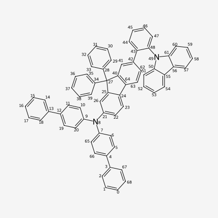 c1ccc(-c2ccc(N(c3ccc(-c4ccccc4)cc3)c3ccc4c(c3)C(c3ccccc3)(c3ccccc3)c3cc(-c5ccccc5-n5c6ccccc6c6ccccc65)ccc3-4)cc2)cc1